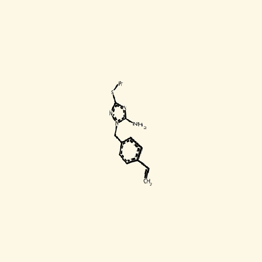 C=Cc1ccc(Cn2nc(SC(C)C)nc2N)cc1